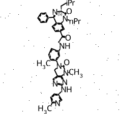 CCCN1C(=O)[C@H](CC(C)C)N=C(c2ccccc2)c2ccc(C(=O)CNc3ccc(C)c(N4Cc5cnc(Nc6ccc(C)nc6)nc5N(C)C4=O)c3)cc21